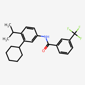 C[C](C)c1ccc(NC(=O)c2cccc(C(F)(F)F)c2)cc1C1CCCCC1